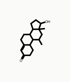 CC1CC2(C)C(O)CCC2C2CCC3=CC(=O)CCC3C12